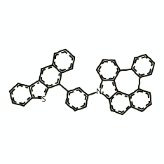 c1cc(-c2c3ccccc3cc3c2sc2ccccc23)cc(-n2c3cccc4c3c3c5c(cccc5ccc32)-c2ccccc2-4)c1